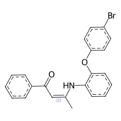 C/C(=C/C(=O)c1ccccc1)Nc1ccccc1Oc1ccc(Br)cc1